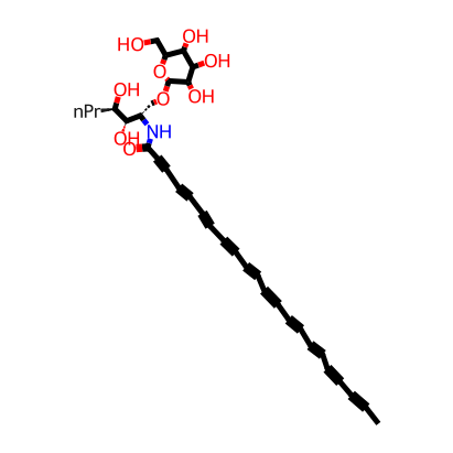 CC#CC#CC#CC#CC#CC#CC#CC#CC#CC#CC(=O)N[C@@H](COC1OC(CO)C(O)C(O)C1O)[C@H](O)[C@H](O)CCC